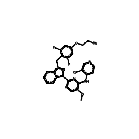 COc1cnc(-c2nn(Cc3c(F)cc(OCCO)cc3F)c3ccccc23)nc1Nc1ccncc1Cl